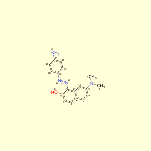 CN(C)c1ccc2ccc(O)c(/N=N/c3ccc(N)cc3)c2c1